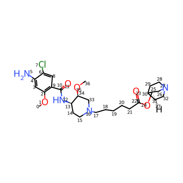 COc1cc(N)c(Cl)cc1C(=O)N[C@@H]1CCN(CCCCCC(=O)O[C@@H]2CN3CCC2CC3)C[C@@H]1OC